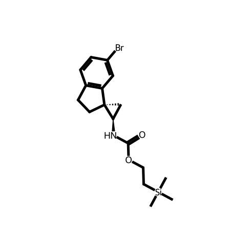 C[Si](C)(C)CCOC(=O)N[C@@H]1C[C@@]12CCc1ccc(Br)cc12